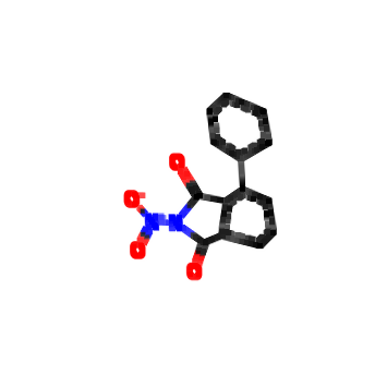 O=C1c2cccc(-c3ccccc3)c2C(=O)N1[N+](=O)[O-]